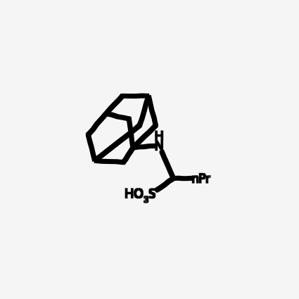 CCCC(NC12CC3CC(CC(C3)C1)C2)S(=O)(=O)O